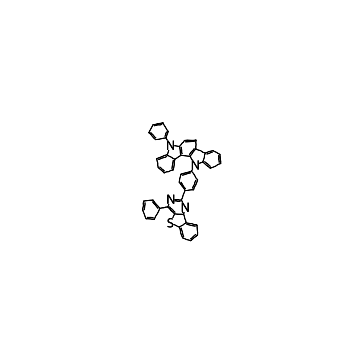 c1ccc(-c2nc(-c3ccc(-n4c5ccccc5c5ccc6c(c7ccccc7n6-c6ccccc6)c54)cc3)nc3c2sc2ccccc23)cc1